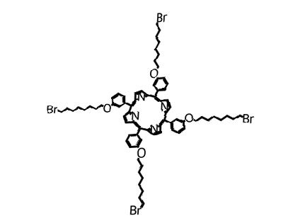 BrCCCCCCCCOc1cccc(C2=C3C=CC(=N3)C(c3cccc(OCCCCCCCCBr)c3)=C3C=CC(=N3)C(c3cccc(OCCCCCCCCBr)c3)=C3C=CC(=N3)C(c3cccc(OCCCCCCCCBr)c3)=C3C=CC2=N3)c1